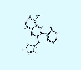 Clc1ccccc1-c1nc2c(Cl)cccc2cc1CN1C=CNC1